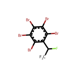 FC(c1c(Br)c(Br)c(Br)c(Br)c1Br)C(F)(F)F